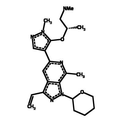 C=Cc1nn(C2CCCCO2)c2c(C)nc(-c3cnn(C)c3O[C@@H](C)CNC)cc12